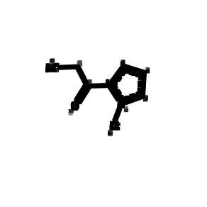 CCn1cccc1C(=O)CC#N